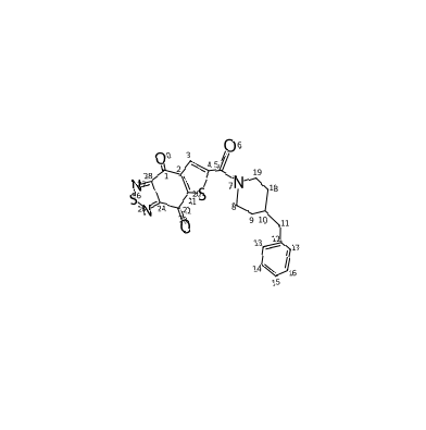 O=C1c2cc(C(=O)N3CCC(Cc4ccccc4)CC3)sc2C(=O)c2nsnc21